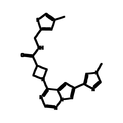 Cc1csc(CNC(=O)C2CN(c3ncnn4cc(-c5cn(C)cn5)cc34)C2)c1